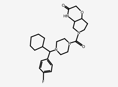 O=C1COC2CCN(C(=O)N3CCN(C(c4ccc(F)cc4)C4CCCCC4)CC3)CC2N1